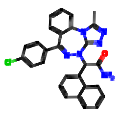 Cc1nnc2n1-c1ccccc1C(c1ccc(Cl)cc1)=NN2C(C(N)=O)c1cccc2ccccc12